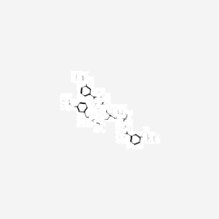 CCOc1cccc(C(=O)OOC(=O)OCC(C)(COC(=O)OOC(=O)c2cccc(OCC)c2)COC(=O)OOC(=O)c2cccc(OCC)c2)c1